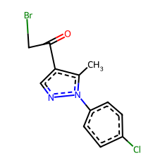 Cc1c(C(=O)CBr)cnn1-c1ccc(Cl)cc1